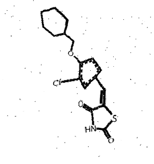 O=C1NC(=O)/C(=C\c2ccc(OCC3CCCCC3)c(Cl)c2)S1